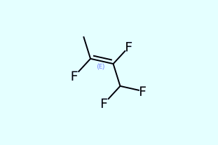 C/C(F)=C(\F)C(F)F